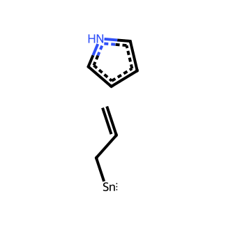 C=C[CH2][Sn].c1cc[nH]c1